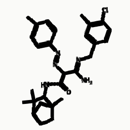 Cc1ccc(/N=N/C(C(=O)NC2C3(C)CCC(C3)C2(C)C)/C(N)=N/Cc2ccc(Cl)c(C)c2)cc1